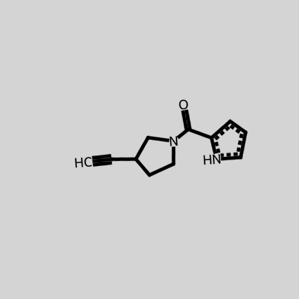 C#CC1CCN(C(=O)c2ccc[nH]2)C1